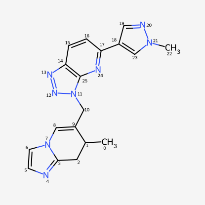 CC1Cc2nccn2C=C1Cn1nnc2ccc(-c3cnn(C)c3)nc21